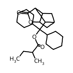 CCC(C)C(=O)OC(C1CCCCC1)(C1CCCCC1)C1C2CC3OC(=O)C1C3C2